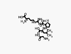 CC(C)C[C@H](N)C(=O)O.N=C(N)NCCC[C@H](N)C(=O)O.NCC(=O)O.O=C(O)[C@@H]1CCCN1